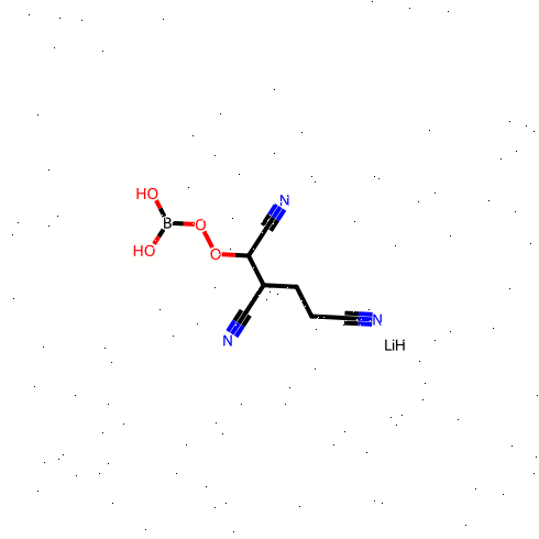 N#CCCC(C#N)C(C#N)OOB(O)O.[LiH]